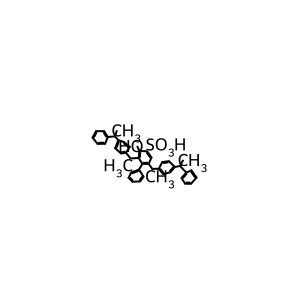 CC(c1ccccc1)c1ccc(C(C)c2cc(S(=O)(=O)O)c(O)c(C(C)c3ccc(C(C)c4ccccc4)cc3)c2-c2ccccc2)cc1